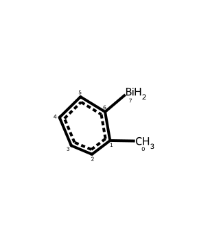 Cc1cccc[c]1[BiH2]